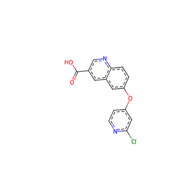 O=C(O)c1cnc2ccc(Oc3ccnc(Cl)c3)cc2c1